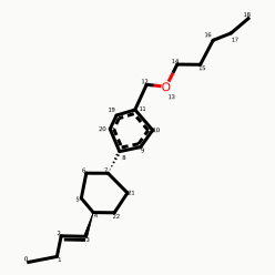 CC/C=C/[C@H]1CC[C@H](c2ccc(COCCCCC)cc2)CC1